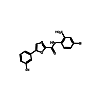 N#Cc1cccc(-c2cnc(C(=O)[AsH]c3ccc(Br)cc3C(=O)O)o2)c1